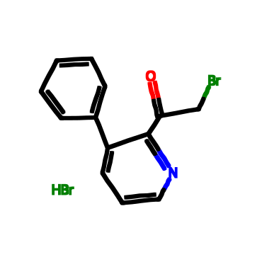 Br.O=C(CBr)c1ncccc1-c1ccccc1